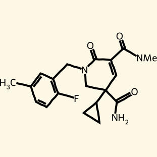 CNC(=O)C1=CC(C(N)=O)(C2CC2)CN(Cc2cc(C)ccc2F)C1=O